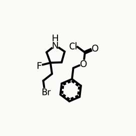 FC1(CCBr)CCNC1.O=C(Cl)OCc1ccccc1